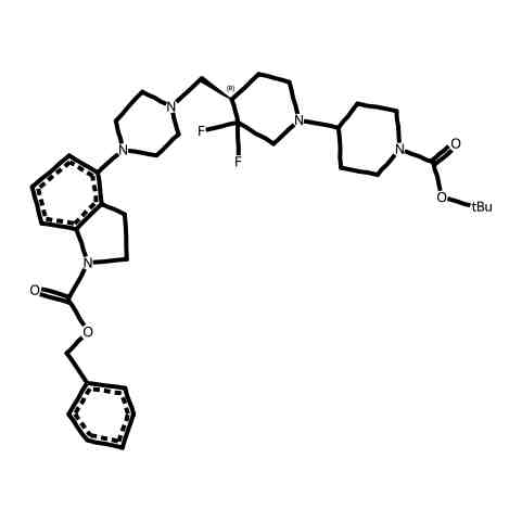 CC(C)(C)OC(=O)N1CCC(N2CC[C@H](CN3CCN(c4cccc5c4CCN5C(=O)OCc4ccccc4)CC3)C(F)(F)C2)CC1